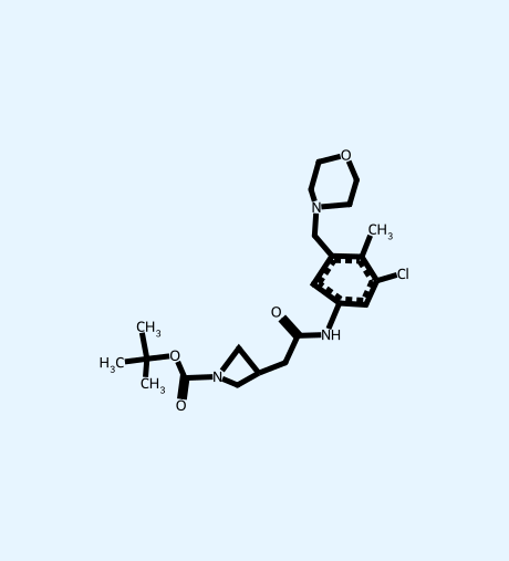 Cc1c(Cl)cc(NC(=O)CC2CN(C(=O)OC(C)(C)C)C2)cc1CN1CCOCC1